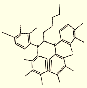 CCCCCC(P(c1ccc(C)c(C)c1C)c1ccc(C)c(C)c1C)P(c1ccc(C)c(C)c1C)c1ccc(C)c(C)c1C